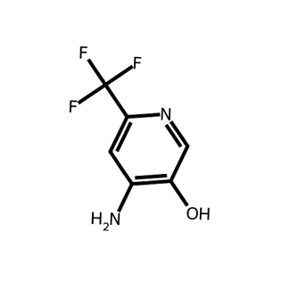 Nc1cc(C(F)(F)F)ncc1O